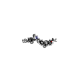 CC(=O)C12CCC(CS(=O)(=O)c3ccc(OC/C(=C/F)CNC(=O)OC(C)(C)C)cc3)(CC1)CC2